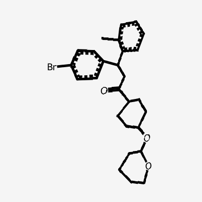 Cc1ccccc1C(CC(=O)C1CCC(OC2CCCCO2)CC1)c1ccc(Br)cc1